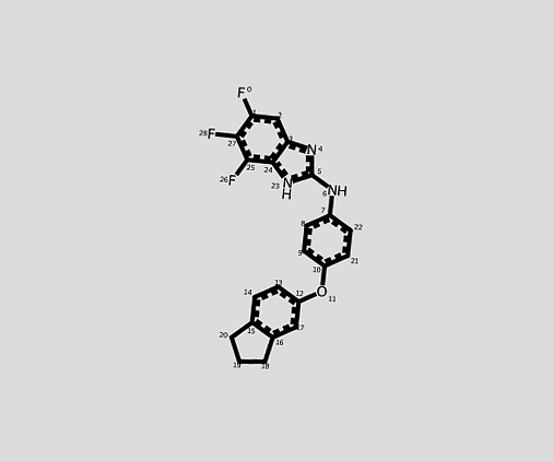 Fc1cc2nc(Nc3ccc(Oc4ccc5c(c4)CCC5)cc3)[nH]c2c(F)c1F